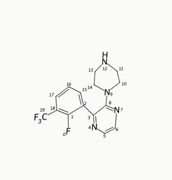 Fc1c(-c2nccnc2N2CCNCC2)cccc1C(F)(F)F